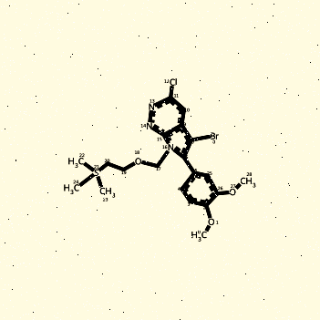 COc1ccc(-c2c(Br)c3cc(Cl)nnc3n2COCCS(C)(C)C)cc1OC